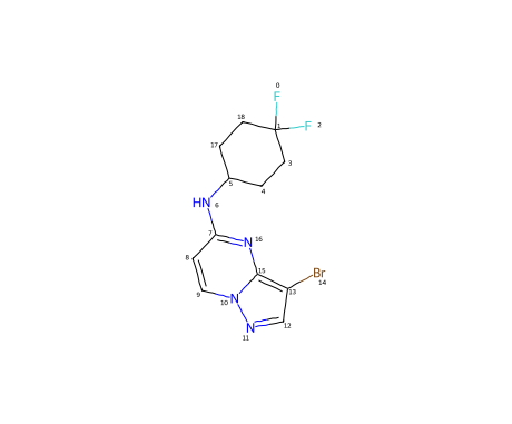 FC1(F)CCC(Nc2ccn3ncc(Br)c3n2)CC1